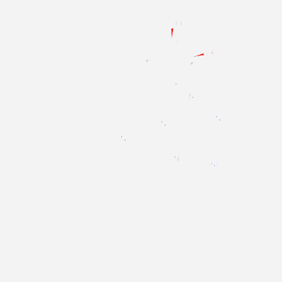 COC[C@H]1O[C@@H](n2cnc3c(NCCc4ccccc4)nc(CNS(=O)(=O)c4ccccc4)nc32)[C@H](O)[C@@H]1O